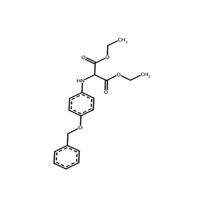 CCOC(=O)C(Nc1ccc(OCc2ccccc2)cc1)C(=O)OCC